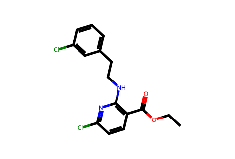 CCOC(=O)c1ccc(Cl)nc1NCCc1cccc(Cl)c1